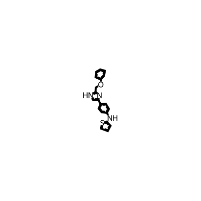 c1ccc(OCc2nc(-c3ccc(Nc4cccs4)cc3)c[nH]2)cc1